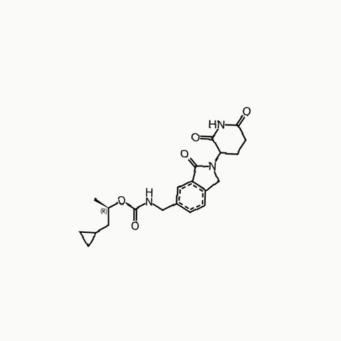 C[C@H](CC1CC1)OC(=O)NCc1ccc2c(c1)C(=O)N(C1CCC(=O)NC1=O)C2